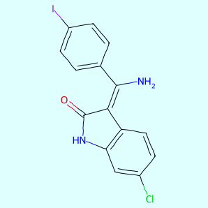 NC(=C1C(=O)Nc2cc(Cl)ccc21)c1ccc(I)cc1